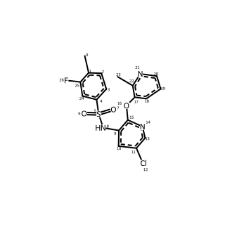 Cc1ccc(S(=O)(=O)Nc2cc(Cl)cnc2Oc2cccnc2C)cc1F